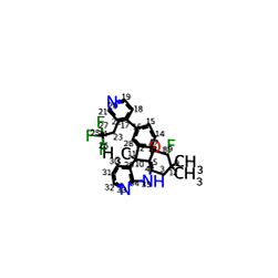 CC1(C)CC2=C(C(=O)[C@@H]1F)[C@@](C)(c1cccc(-c3ccncc3CC(F)(F)F)c1)c1cccnc1N2